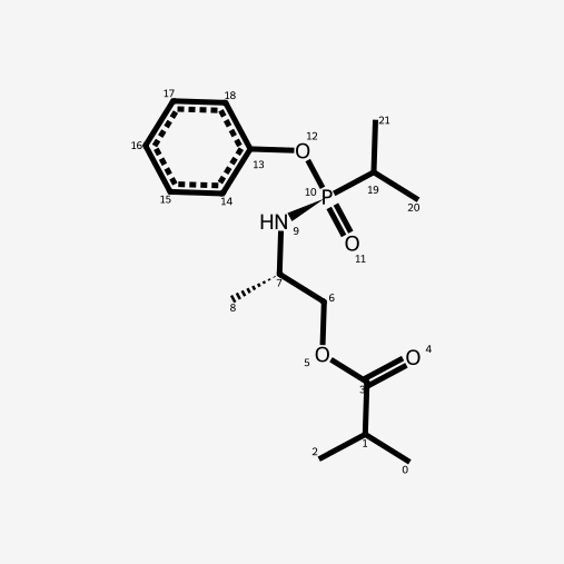 CC(C)C(=O)OC[C@H](C)N[P@@](=O)(Oc1ccccc1)C(C)C